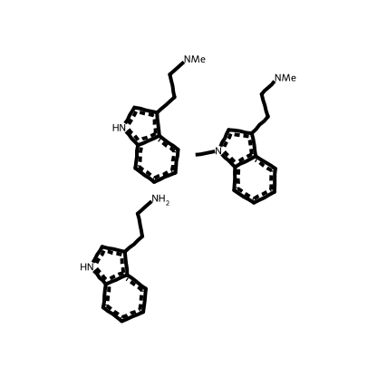 CNCCc1c[nH]c2ccccc12.CNCCc1cn(C)c2ccccc12.NCCc1c[nH]c2ccccc12